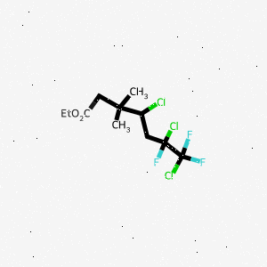 CCOC(=O)CC(C)(C)C(Cl)CC(F)(Cl)C(F)(F)Cl